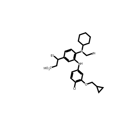 CCC(CC(=O)O)c1ccc(N(CC(C)C)C2CCCCC2)c(Nc2ccc(Cl)c(OCC3CC3)c2)c1